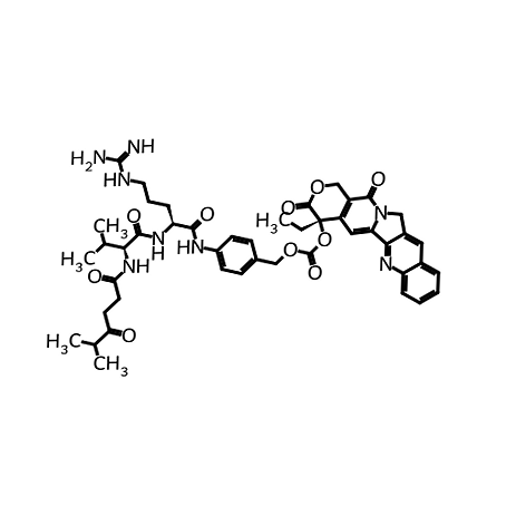 CC[C@@]1(OC(=O)OCc2ccc(NC(=O)[C@H](CCCNC(=N)N)NC(=O)[C@@H](NC(=O)CCC(=O)C(C)C)C(C)C)cc2)C(=O)OCc2c1cc1n(c2=O)Cc2cc3ccccc3nc2-1